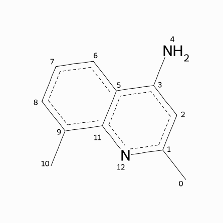 Cc1cc(N)c2cccc(C)c2n1